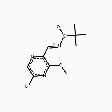 COc1nc(Br)cnc1/C=N/[S+]([O-])C(C)(C)C